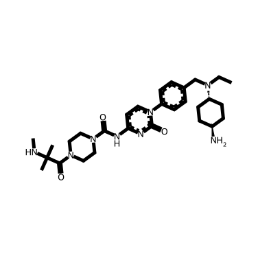 CCN(Cc1ccc(-n2ccc(NC(=O)N3CCN(C(=O)C(C)(C)NC)CC3)nc2=O)cc1)[C@H]1CC[C@H](N)CC1